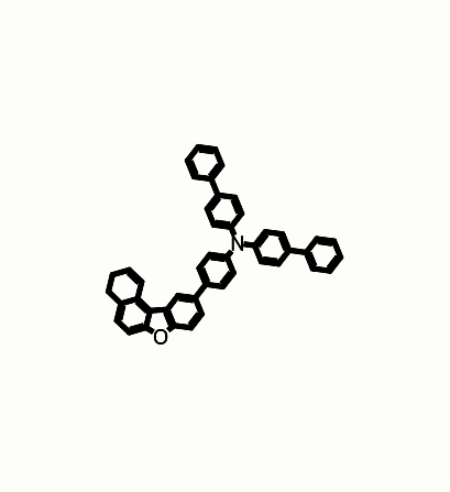 C1=Cc2c(ccc3oc4ccc(-c5ccc(N(c6ccc(-c7ccccc7)cc6)c6ccc(-c7ccccc7)cc6)cc5)cc4c23)CC1